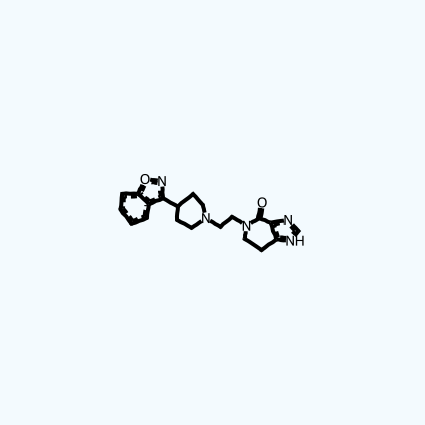 O=C1c2nc[nH]c2CCN1CCN1CCC(c2noc3ccccc23)CC1